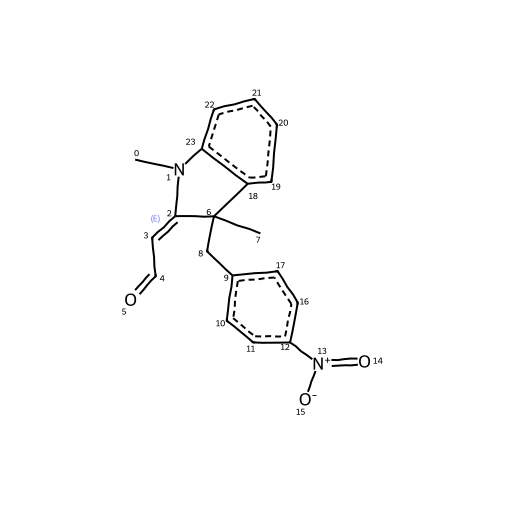 CN1/C(=C/C=O)C(C)(Cc2ccc([N+](=O)[O-])cc2)c2ccccc21